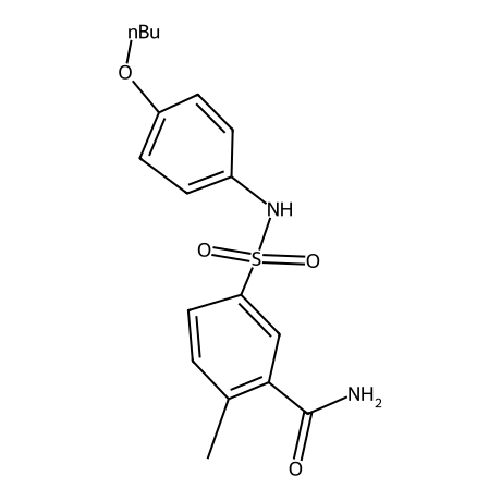 CCCCOc1ccc(NS(=O)(=O)c2ccc(C)c(C(N)=O)c2)cc1